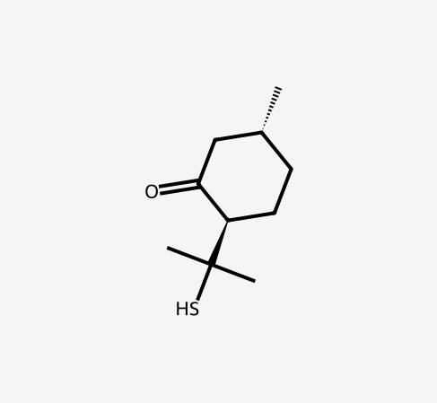 C[C@@H]1CC[C@@H](C(C)(C)S)C(=O)C1